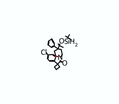 CC(C)(C)[SiH2]OC(C)(C)C1(c2ccccc2)CCN(C(=O)C2(c3ccc(Cl)cc3)CCC2)CC1